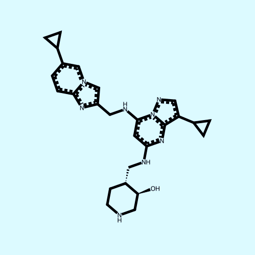 O[C@H]1CNCC[C@@H]1CNc1cc(NCc2cn3cc(C4CC4)ccc3n2)n2ncc(C3CC3)c2n1